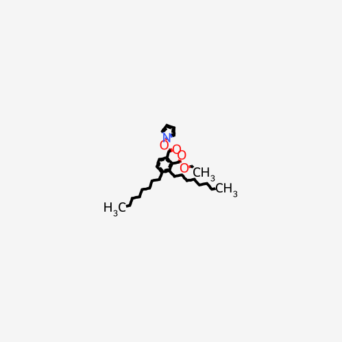 CCCCCCCCc1ccc(C(=O)On2cccc2)c(C(=O)OCC)c1CCCCCCCC